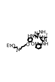 CCOCCN(C)CCCCOc1ccc(Nc2nc(N)n(-c3cc(Nc4ccccc4)nc(C)n3)n2)cc1OC